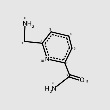 NCc1cccc(C(N)=O)n1